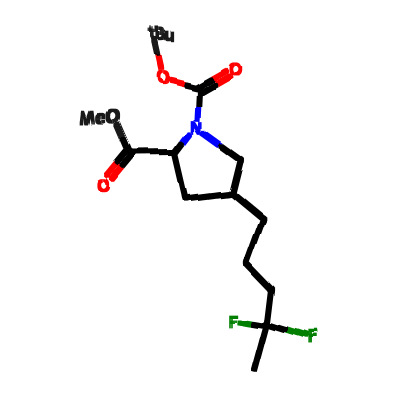 COC(=O)C1CC(CCCC(C)(F)F)CN1C(=O)OC(C)(C)C